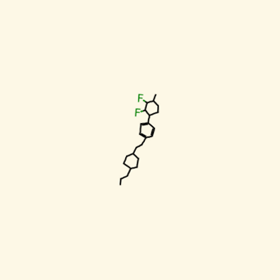 CCCC1CCC(CCc2ccc(C3CCC(C)C(F)C3F)cc2)CC1